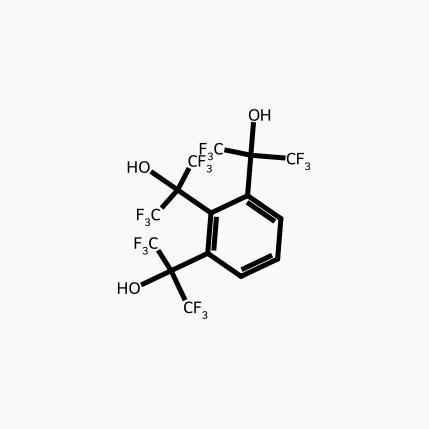 OC(c1cccc(C(O)(C(F)(F)F)C(F)(F)F)c1C(O)(C(F)(F)F)C(F)(F)F)(C(F)(F)F)C(F)(F)F